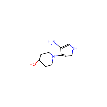 NC1=CNCC=C1N1CCC(O)CC1